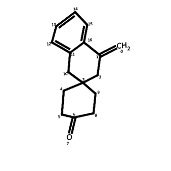 C=C1CC2(CCC(=O)CC2)Cc2ccccc21